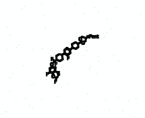 CCCCCC1COC(C2CCC(c3ccc(C4CCC(C(F)(F)Oc5cc(F)c(OC(F)F)c(F)c5)CC4)c(F)c3)CC2)OC1